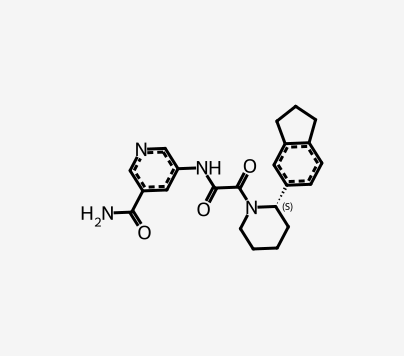 NC(=O)c1cncc(NC(=O)C(=O)N2CCCC[C@H]2c2ccc3c(c2)CCC3)c1